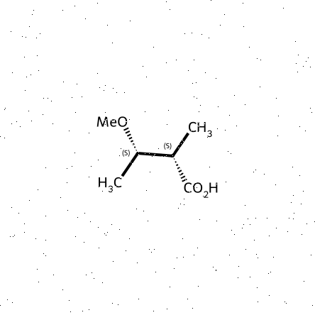 CO[C@@H](C)[C@H](C)C(=O)O